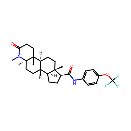 CN1C(=O)CC[C@]2(C)[C@H]3CC[C@]4(C)[C@@H](C(=O)Nc5ccc(OC(F)(F)F)cc5)CC[C@H]4[C@@H]3CC[C@@H]12